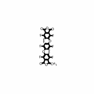 C=C1OC(=O)c2c(F)c(Oc3c(F)c(F)c(Oc4c(F)c(F)c5c(c4F)C(=O)OC5=O)c(F)c3F)c(F)c(F)c21